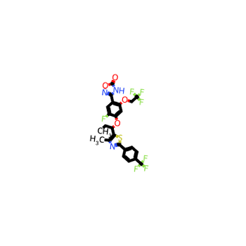 CCC(Oc1cc(OCC(F)(F)F)c(-c2noc(=O)[nH]2)cc1F)c1sc(-c2ccc(C(F)(F)F)cc2)nc1C